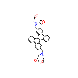 c1ccc2c(c1)c1ccc(CN(CC3CO3)C3COC3)cc1c1c3ccccc3c3ccc(CN(CC4CO4)CC4CO4)cc3c21